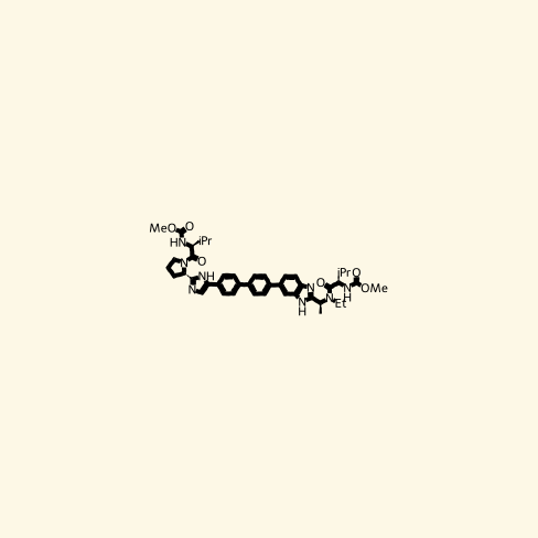 CCN(C(=O)[C@@H](NC(=O)OC)C(C)C)[C@@H](C)c1nc2ccc(-c3ccc(-c4ccc(-c5cnc([C@@H]6CCCN6C(=O)[C@@H](NC(=O)OC)C(C)C)[nH]5)cc4)cc3)cc2[nH]1